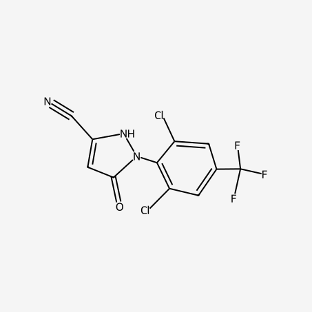 N#Cc1cc(=O)n(-c2c(Cl)cc(C(F)(F)F)cc2Cl)[nH]1